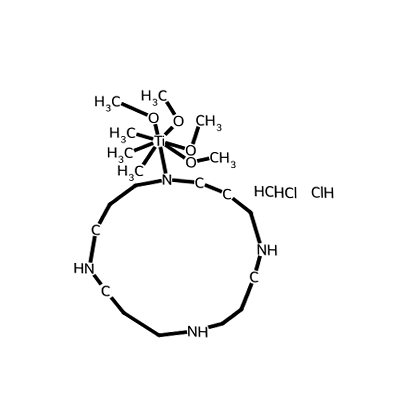 C[O][Ti]([CH3])([CH3])([CH3])([O]C)([O]C)([O]C)[N]1CCCNCCCNCCCNCCC1.Cl.Cl.Cl